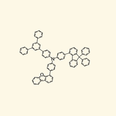 c1ccc(-c2cc(-c3ccccc3)cc(-c3ccc(N(c4ccc(-c5cccc6c5-c5ccccc5C6(c5ccccc5)c5ccccc5)cc4)c4ccc(-c5cccc6c5oc5ccccc56)cc4)cc3)c2)cc1